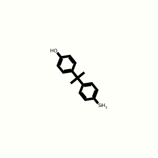 CC(C)(c1ccc(O)cc1)c1ccc([SiH3])cc1